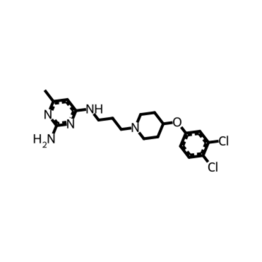 Cc1cc(NCCCN2CCC(Oc3ccc(Cl)c(Cl)c3)CC2)nc(N)n1